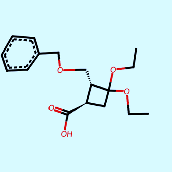 CCOC1(OCC)C[C@@H](C(=O)O)[C@@H]1COCc1ccccc1